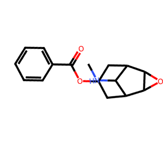 CNC1C2CC(OC(=O)c3ccccc3)CC1C1OC21